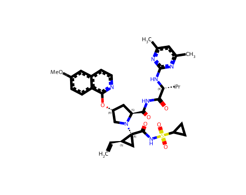 C=C[C@@H]1C[C@@]1(C(=O)NS(=O)(=O)C1CC1)N1C[C@H](Oc2nccc3cc(OC)ccc23)C[C@H]1C(=O)NC(=O)[C@H](Nc1nc(C)cc(C)n1)C(C)C